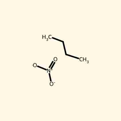 CCCC.[O][N+](=O)[O-]